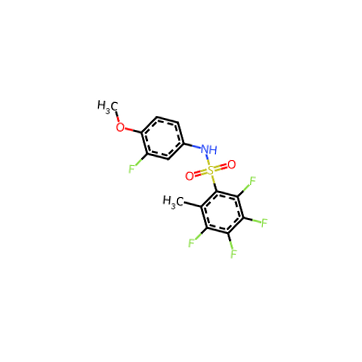 COc1ccc(NS(=O)(=O)c2c(C)c(F)c(F)c(F)c2F)cc1F